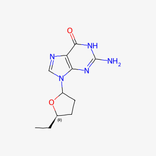 CC[C@@H]1CCC(n2cnc3c(=O)[nH]c(N)nc32)O1